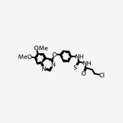 COc1cc2ncnc(Oc3ccc(NC(=S)NC(=O)CCCl)cc3)c2cc1OC